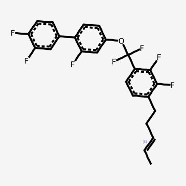 C/C=C/CCc1ccc(C(F)(F)Oc2ccc(-c3ccc(F)c(F)c3)c(F)c2)c(F)c1F